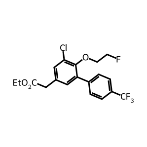 CCOC(=O)Cc1cc(Cl)c(OCCF)c(-c2ccc(C(F)(F)F)cc2)c1